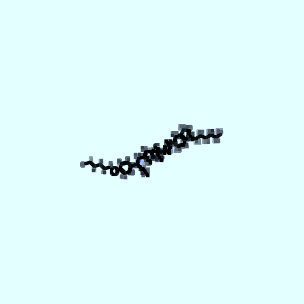 CCCCCCOc1ccc(/C(C#N)=C/c2cc3sc(/N=N/c4ccc5c(c4)CCN5CCCCCC)nc3s2)cc1